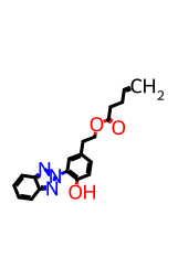 C=CCCC(=O)OCCc1ccc(O)c(-n2nc3ccccc3n2)c1